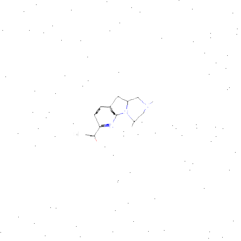 CCCC(O)c1ccc2c(n1)N1C(C)CN(C(=O)O)CC1C2